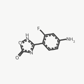 Nc1ccc(-c2nc(=O)o[nH]2)c(F)c1